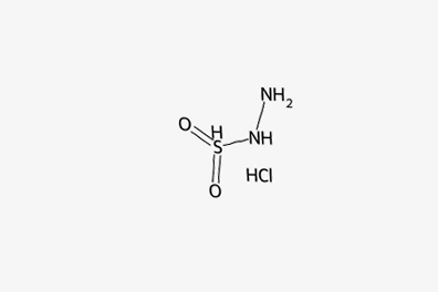 Cl.NN[SH](=O)=O